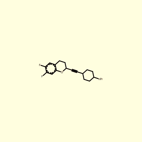 CCCC1CCC(C#CC2CCc3cc(F)c(F)cc3O2)CC1